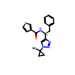 N#CC1(n2cc([C@H](Cc3ccccc3)NC(=O)c3ccsc3)nn2)CC1